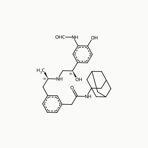 C[C@H](Cc1cccc(CC(=O)NC23CC4CC(CC(C4)C2)C3)c1)NC[C@H](O)c1ccc(O)c(NC=O)c1